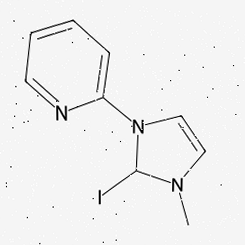 CN1C=CN(c2ccccn2)C1I